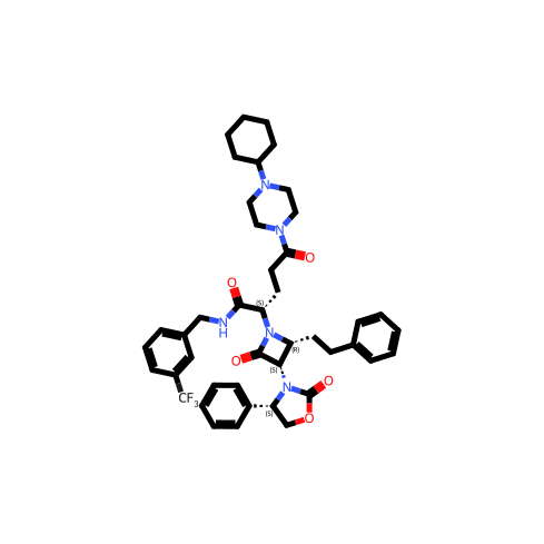 O=C(NCc1cccc(C(F)(F)F)c1)[C@H](CCC(=O)N1CCN(C2CCCCC2)CC1)N1C(=O)[C@@H](N2C(=O)OC[C@@H]2c2ccccc2)[C@H]1CCc1ccccc1